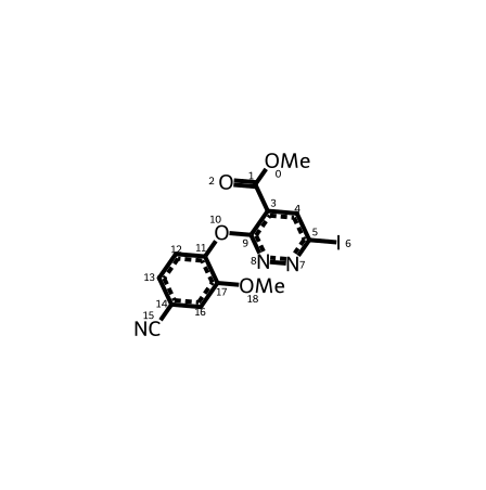 COC(=O)c1cc(I)nnc1Oc1ccc(C#N)cc1OC